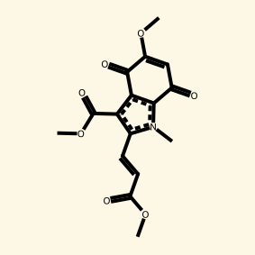 COC(=O)/C=C/c1c(C(=O)OC)c2c(n1C)C(=O)C=C(OC)C2=O